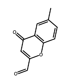 Cc1ccc2oc(C=O)cc(=O)c2c1